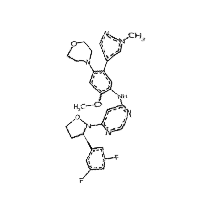 COc1cc(N2CCOCC2)c(-c2cnn(C)c2)cc1Nc1cc(N2OCC[C@@H]2c2cc(F)cc(F)c2)ncn1